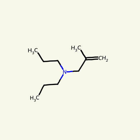 C=C(C)CN(CCC)CCC